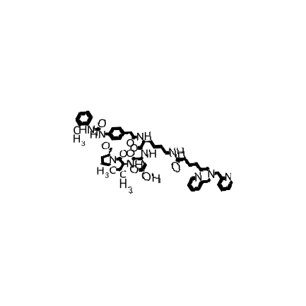 Cc1ccccc1NC(=O)Nc1ccc(CC(=O)N[C@@H](CCCCNC(=O)CCCCCN(Cc2ccccn2)Cc2ccccn2)C(=O)N[C@@H](CC(=O)O)C(=O)N[C@H](C(=O)N2CCC[C@H]2C=O)C(C)C)cc1